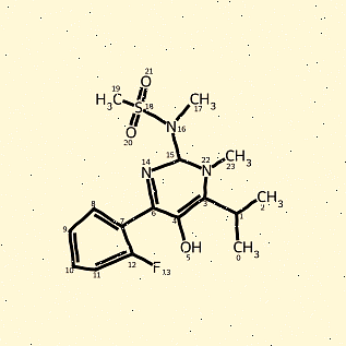 CC(C)C1=C(O)C(c2ccccc2F)=NC(N(C)S(C)(=O)=O)N1C